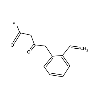 C=Cc1ccccc1CC(=O)CC(=O)CC